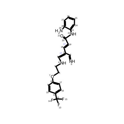 N=CC(=C\NCCOc1ccc(C(F)(F)F)cc1)/C=C/C(=O)Nc1ccccc1N